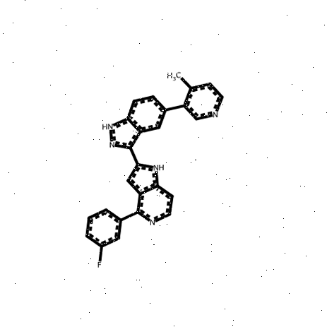 Cc1ccncc1-c1ccc2[nH]nc(-c3cc4c(-c5cccc(F)c5)nccc4[nH]3)c2c1